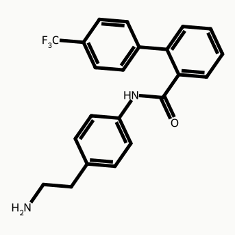 NCCc1ccc(NC(=O)c2ccccc2-c2ccc(C(F)(F)F)cc2)cc1